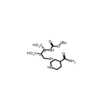 CC(C)C[C@@H](C(=O)O)[C@H](NC(=O)OC(C)(C)C)C(=O)O.NC(=O)C1CCNCC1